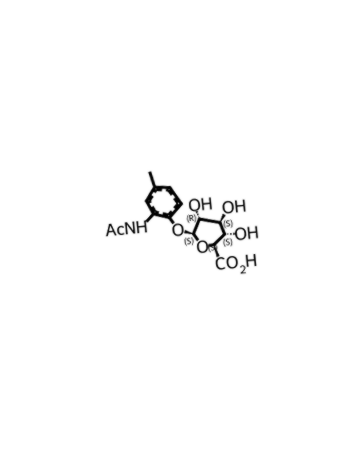 CC(=O)Nc1cc(C)ccc1O[C@@H]1O[C@H](C(=O)O)[C@@H](O)[C@H](O)[C@H]1O